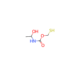 CC(O)NC(=O)OCS